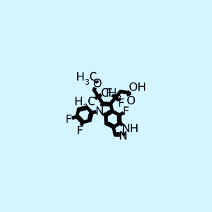 COCC(C)(C)c1c(C(F)(F)CC(=O)O)c2c(F)c3[nH]ncc3cc2n1-c1ccc(F)c(F)c1